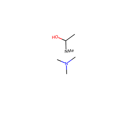 CN(C)C.CNC(C)O